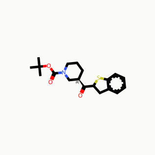 CC(C)(C)OC(=O)N1CCC[C@@H](C(=O)C2Cc3ccccc3S2)C1